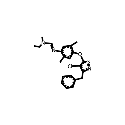 CCN(C)C=Nc1cc(C)c(Oc2snc(Cc3ccccc3)c2Cl)cc1C